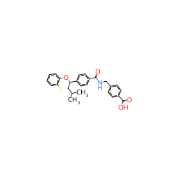 CC(C)CC(Oc1ccccc1F)c1ccc(C(=O)NCc2ccc(C(=O)O)cc2)cc1